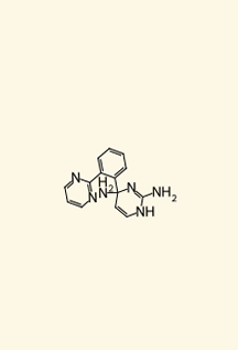 NC1=NC(N)(c2ccccc2-c2ncccn2)C=CN1